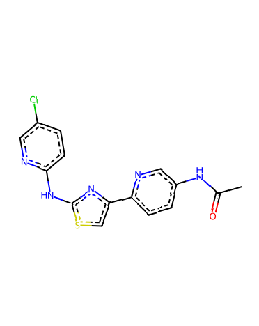 CC(=O)Nc1ccc(-c2csc(Nc3ccc(Cl)cn3)n2)nc1